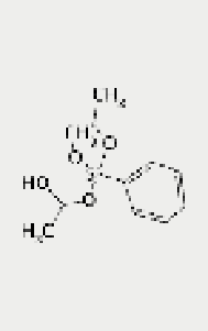 CCO[Si](OC)(OC(C)O)c1ccccc1